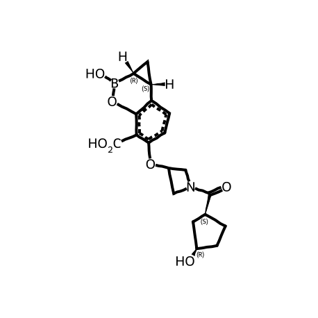 O=C(O)c1c(OC2CN(C(=O)[C@H]3CC[C@@H](O)C3)C2)ccc2c1OB(O)[C@@H]1C[C@H]21